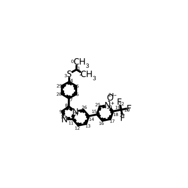 CC(C)Sc1ccc(-c2cnc3ccc(-c4ccc(C(F)(F)F)[n+]([O-])c4)cn23)cc1